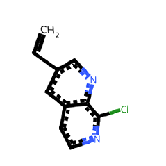 C=Cc1cnc2c(Cl)nccc2c1